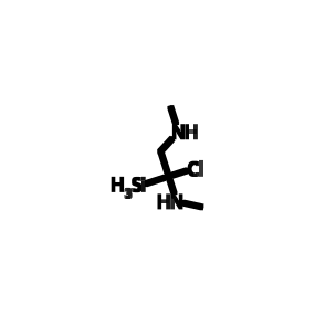 CNCC([SiH3])(Cl)NC